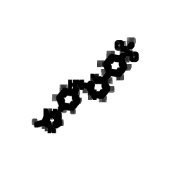 Cc1ncn(-c2ccc(Nc3nccc(-c4ccc(S(C)(=O)=O)cc4)n3)cc2)n1